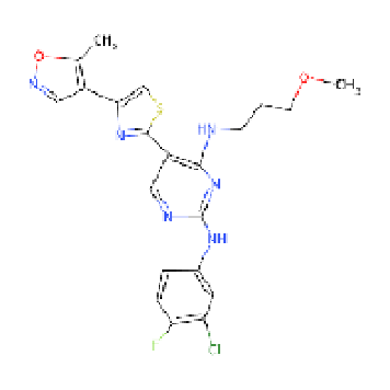 COCCCNc1nc(Nc2ccc(F)c(Cl)c2)ncc1-c1nc(-c2cnoc2C)cs1